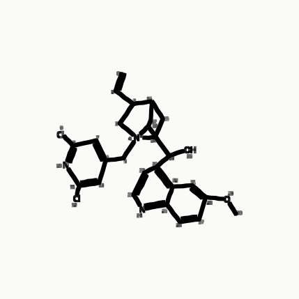 C=CC1C[N+]2(Cc3cc(Cl)nc(Cl)c3)CCC1CC2C(O)c1ccnc2ccc(OC)cc12